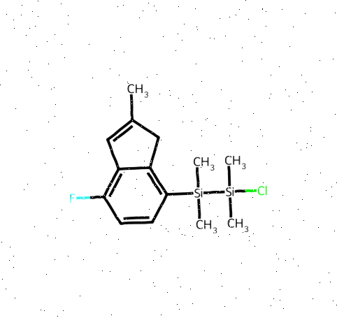 CC1=Cc2c(F)ccc([Si](C)(C)[Si](C)(C)Cl)c2C1